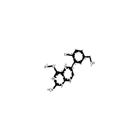 CCOc1nc(N)nc2ncc(-c3cc(CO)ccc3Cl)nc12